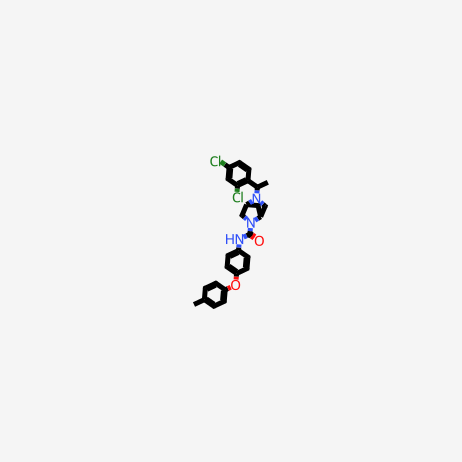 Cc1ccc(Oc2ccc(NC(=O)N3CC4CC3CN4C(C)c3ccc(Cl)cc3Cl)cc2)cc1